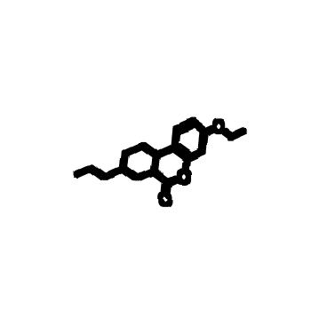 CCCC1CCC2c3ccc(OCC)cc3OC(=O)C2C1